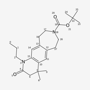 CCCN1C(=O)CC(C)(C)c2cc3c(cc21)CCN(C(=O)OC(C)(C)C)CC3